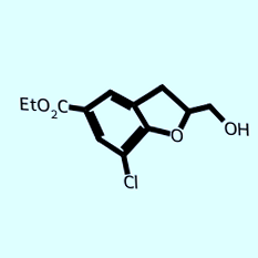 CCOC(=O)c1cc(Cl)c2c(c1)CC(CO)O2